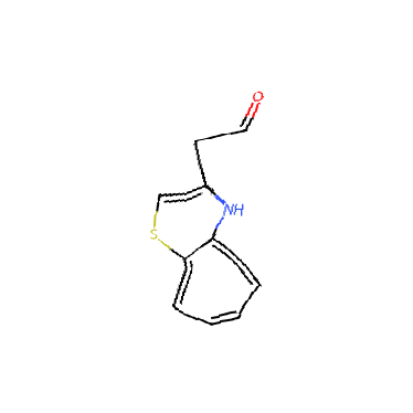 O=CCC1=CSc2ccccc2N1